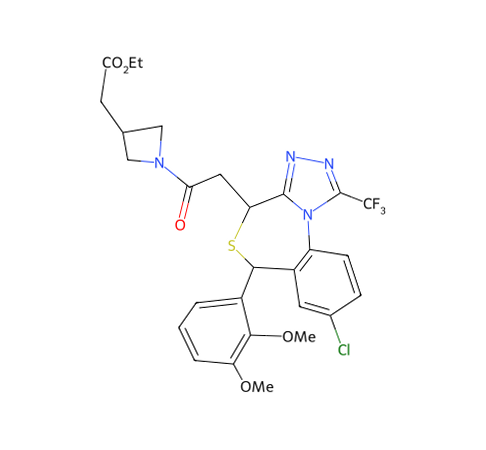 CCOC(=O)CC1CN(C(=O)CC2SC(c3cccc(OC)c3OC)c3cc(Cl)ccc3-n3c2nnc3C(F)(F)F)C1